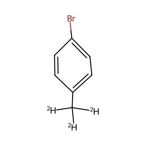 [2H]C([2H])([2H])c1ccc(Br)cc1